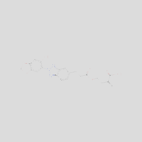 C=C(CCOC(=O)CCc1ccc2nn(-c3cc4c(cc3O)OCO4)nc2c1)C(=O)O